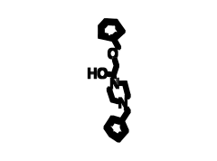 OC(COCc1ccccc1)N1CCN(Cc2ccccc2)CC1